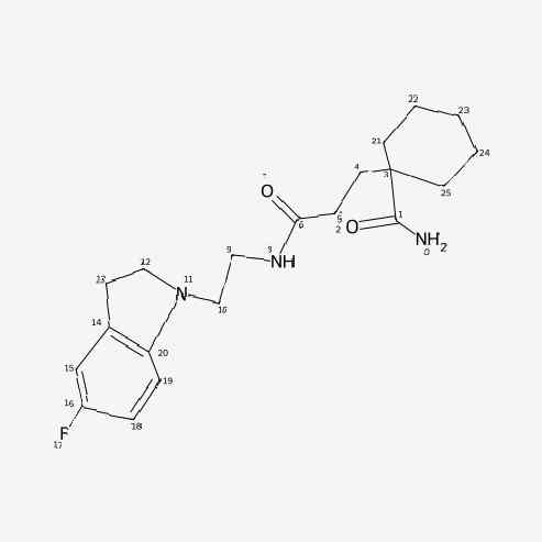 NC(=O)C1(C[CH]C(=O)NCCN2CCc3cc(F)ccc32)CCCCC1